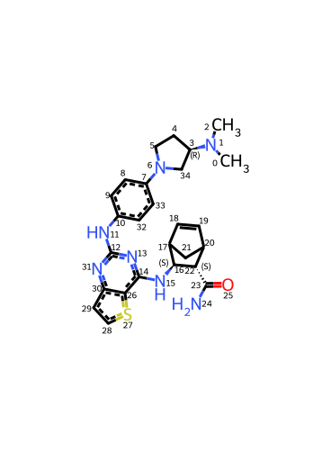 CN(C)[C@@H]1CCN(c2ccc(Nc3nc(N[C@H]4C5C=CC(C5)[C@@H]4C(N)=O)c4sccc4n3)cc2)C1